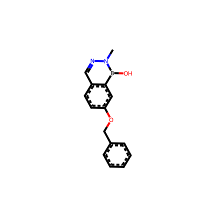 CN1N=Cc2ccc(OCc3ccccc3)cc2B1O